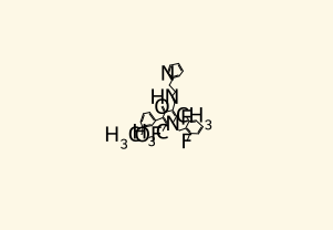 COc1cccc(-c2c(C)n(Cc3c(F)cccc3F)c(C)c(CNCCc3ccccn3)c2=O)c1F